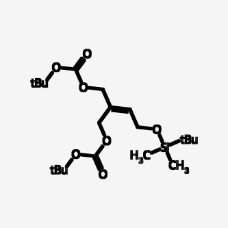 CC(C)(C)OC(=O)OCC(=CCO[Si](C)(C)C(C)(C)C)COC(=O)OC(C)(C)C